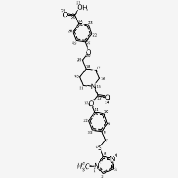 Cn1ccnc1SCc1ccc(OC(=O)N2CCC(COc3ccc(C(=O)O)cc3)CC2)cc1